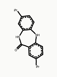 CC(C)c1ccc2c(c1)NC(=O)c1cc(C(C)C)ccc1N2